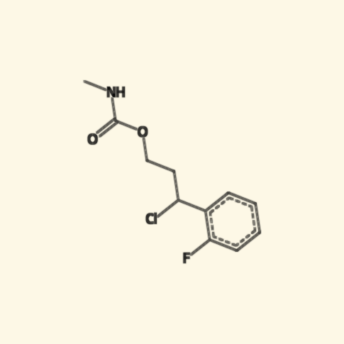 CNC(=O)OCCC(Cl)c1ccccc1F